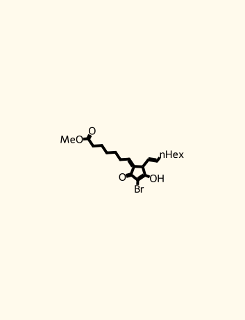 CCCCCCC=CC1C(=CCCCCCC(=O)OC)C(=O)C(Br)=C1O